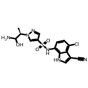 C[C@H](C(N)O)n1cc(S(=O)(=O)Nc2ccc(Cl)c3c(C#N)c[nH]c23)cn1